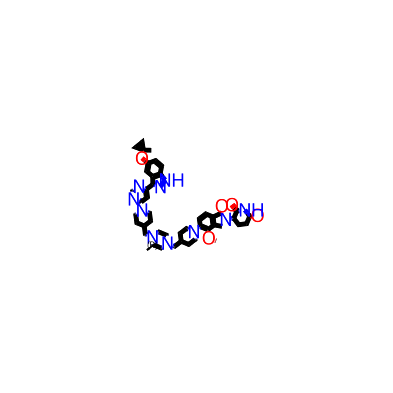 COc1c(N2CCC(CN3CCN(CC4CCN(c5cc(-c6n[nH]c7ccc(OC8(C)CC8)cc67)ncn5)CC4)[C@H](C)C3)CC2)ccc2c1CN(C1CCC(=O)NC1=O)C2=O